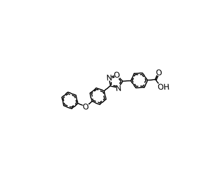 O=C(O)c1ccc(-c2nc(-c3ccc(Oc4ccccc4)cc3)no2)cc1